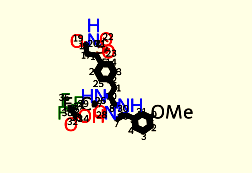 COc1cccc(-c2cnc(C(Cc3ccc(C4CC(=O)NS4(=O)=O)cc3)NC(=O)C(F)(F)F)[nH]2)c1.O=C(O)C(F)(F)F